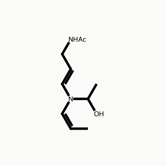 C/C=C\N(/C=C/CNC(C)=O)C(C)O